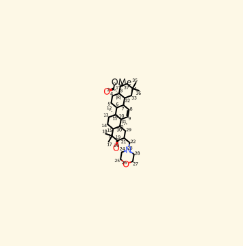 COC(=O)[C@@]12CCC3C(C=CC4[C@@]3(C)CCC3C(C)(C)C(=O)C(CN5CCOCC5)C[C@@]34C)C1CC(C)(C)CC2